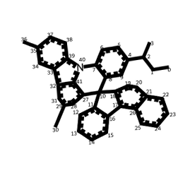 CCC(C)c1ccc2c(c1)C1(c3ccccc3-c3c1ccc1ccccc31)c1cc(C)cc3c4cc(C)ccc4n-2c13